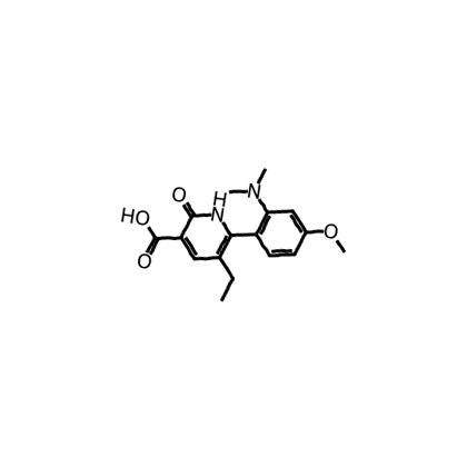 CCc1cc(C(=O)O)c(=O)[nH]c1-c1ccc(OC)cc1N(C)C